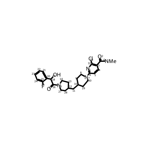 CNC(=O)c1ccc(N2CCC(CC3CCN(C(=O)C(O)c4ccccc4F)CC3)CC2)nc1Cl